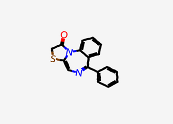 O=C1CSC2=CN=C(c3ccccc3)c3ccccc3N12